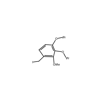 COc1c(CI)ccc(OC(C)C)c1OC(C)C